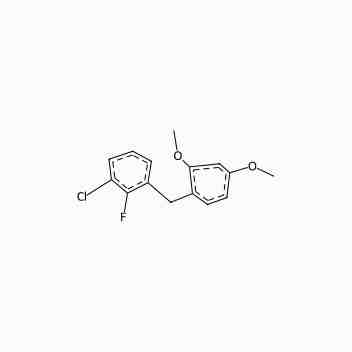 COc1ccc(Cc2cccc(Cl)c2F)c(OC)c1